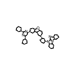 c1ccc(-c2cc(-c3ccc4oc5ccc(-c6cccc(-n7c8ccccc8n8c9ccccc9nc78)c6)cc5c4c3)nc(-c3ccccc3)n2)cc1